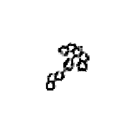 c1ccc2c3c(ccc2c1)Oc1ccc2ccccc2c1C3c1ccc(-c2ccc3c(ccc4ccccc43)c2)cc1